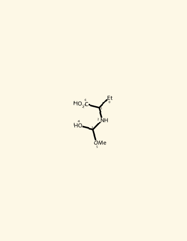 CCC(NC(O)OC)C(=O)O